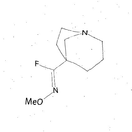 CON=C(F)C12CCCN(CC1)C2